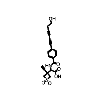 C#CC1(C(NC(=O)c2ccc(C#CC#CCCO)cc2)C(=O)O)CS(=O)(=O)C1